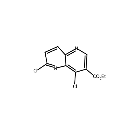 CCOC(=O)c1cnc2ccc(Cl)nc2c1Cl